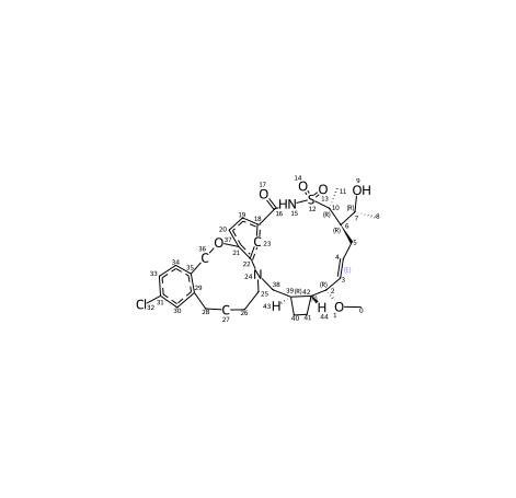 CO[C@H]1/C=C/C[C@H]([C@@H](C)O)[C@@H](C)S(=O)(=O)NC(=O)c2ccc3c(c2)N(CCCCc2cc(Cl)ccc2CO3)C[C@@H]2CC[C@H]21